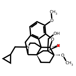 COc1ccc2c3c1O[C@@H]1C34CCN(CC3CC3)C(C2)[C@]42CC[C@@]1(OC)[C@@H](CO)C2